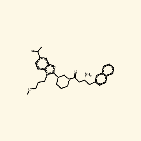 COCCCn1c(C2CCCN(C(=O)C[C@H](N)Cc3ccc4ccccc4c3)C2)nc2cc(C(C)C)ccc21